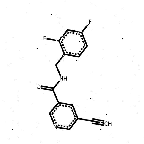 C#Cc1cncc(C(=O)NCc2ccc(F)cc2F)c1